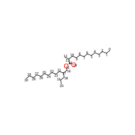 CCCCCCCCCCCC(C)C(=O)OCC(CCC)CCCCCCCCCC